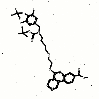 COC(=O)c1ccc2c(c1)nc(OCCOCCCCN(Cc1cc(F)c(OC(F)(F)F)c(F)c1)C(=O)OC(C)(C)C)c1ccncc12